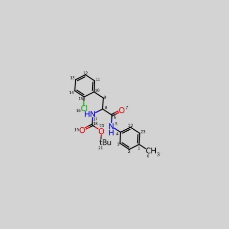 Cc1ccc(NC(=O)C(Cc2ccccc2Cl)NC(=O)OC(C)(C)C)cc1